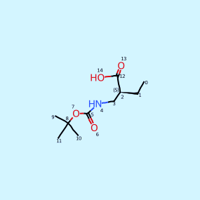 CC[C@@H](CNC(=O)OC(C)(C)C)C(=O)O